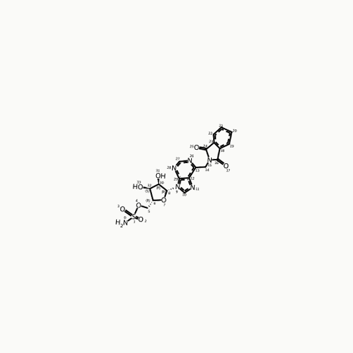 NS(=O)(=O)OC[C@H]1O[C@@H](n2cnc3c(CN4C(=O)c5ccccc5C4=O)ncnc32)[C@H](O)[C@@H]1O